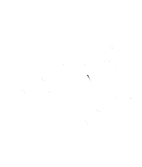 CN(C#N)C(=O)[C@@H](CC1CCN(c2nccs2)CC1)c1ccccc1C(N)=O